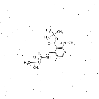 CNc1ncc(I)c(CNC(=O)OC(C)(C)C)c1C(=O)OC(C)(C)C